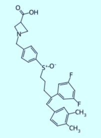 Cc1ccc(/C=C(/CCC[S+]([O-])c2ccc(CN3CC(C(=O)O)C3)cc2)c2cc(F)cc(F)c2)cc1C